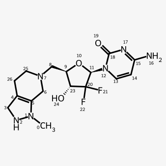 CN1NCC2=C1CN(C[C@H]1O[C@@H](n3ccc(N)nc3=O)C(F)(F)[C@@H]1O)CC2